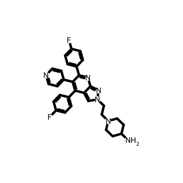 NC1CCN(CCn2cc3c(-c4ccc(F)cc4)c(-c4ccncc4)c(-c4ccc(F)cc4)nc3n2)CC1